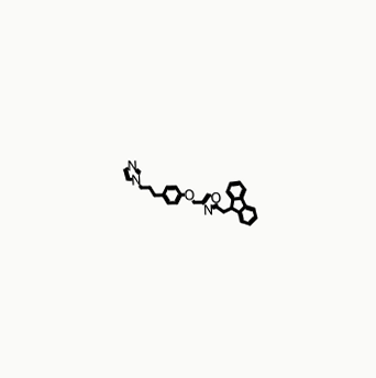 c1ccc2c(c1)-c1ccccc1C2Cc1nc(COc2ccc(CCCn3ccnc3)cc2)co1